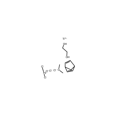 C1=CC2C=CC1C2.COC.OCCO.[Cl-].[Cl-].[Cl-].[Cl][Pd][Cl].[Ti+3]